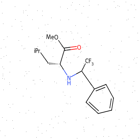 COC(=O)[C@@H](CC(C)C)NC(c1ccccc1)C(F)(F)F